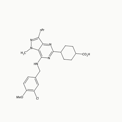 CCCc1nn(C)c2c(NCc3ccc(OC)c(Cl)c3)nc(C3CCC(C(=O)O)CC3)nc12